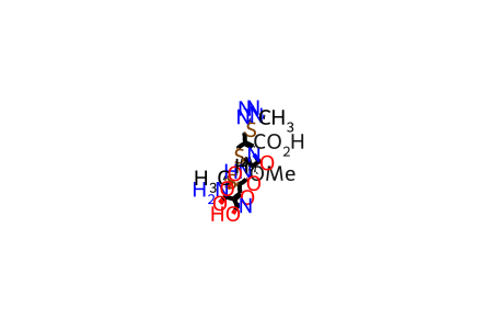 CO[C@@]1(NC(=O)C(c2onc(O)c2C(N)=O)S(C)(=O)=O)C(=O)N2C(C(=O)O)=C(CSc3nnnn3C)CS[C@H]21